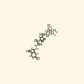 CC(C)(C)OC(=O)Nc1cc(C(=O)NCCc2c[nH]c3ccc(Cl)cc23)no1